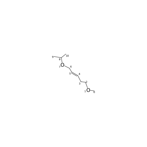 COCCC=CCOC(C)C